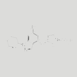 O=C(O)N1CC[C@H](Oc2cc(Br)cc3c2cnn3C2CCCCO2)C1